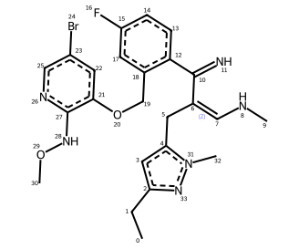 CCc1cc(C/C(=C/NC)C(=N)c2ccc(F)cc2COc2cc(Br)cnc2NOC)n(C)n1